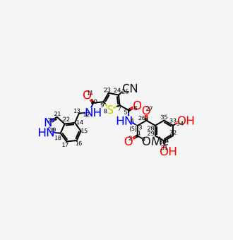 COC(=O)[C@@H](NC(=O)c1sc(C(=O)NCc2cccc3[nH]ncc23)cc1C#N)C(=O)c1cc(O)cc(O)c1